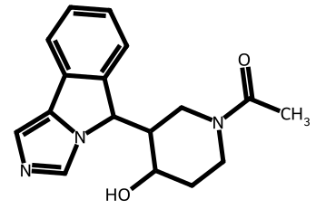 CC(=O)N1CCC(O)C(C2c3ccccc3-c3cncn32)C1